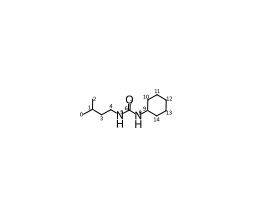 CC(C)CCNC(=O)NC1CCCCC1